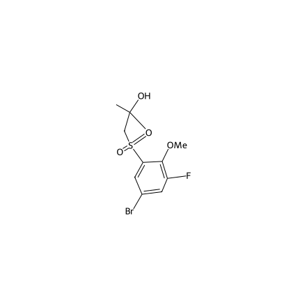 COc1c(F)cc(Br)cc1S(=O)(=O)CC(C)(C)O